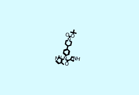 Cc1ccnnc1N(C(=O)C1CNC1)c1ccc(C2CCN(C(=O)OC(C)(C)C)CC2)cc1